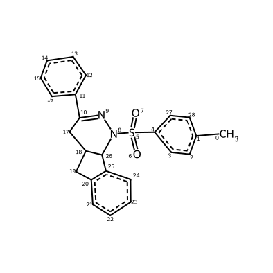 Cc1ccc(S(=O)(=O)N2N=C(c3ccccc3)CC3Cc4ccccc4C32)cc1